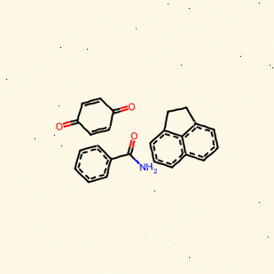 NC(=O)c1ccccc1.O=C1C=CC(=O)C=C1.c1cc2c3c(cccc3c1)CC2